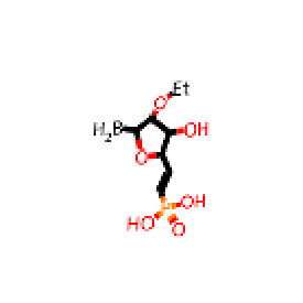 BC1OC(/C=C/P(=O)(O)O)C(O)C1OCC